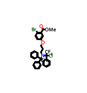 COC(=O)c1cc(OCCCN(C(C)(c2ccccc2)c2ccccc2)C(Cl)(c2ccccc2)C(F)(F)F)ccc1Br